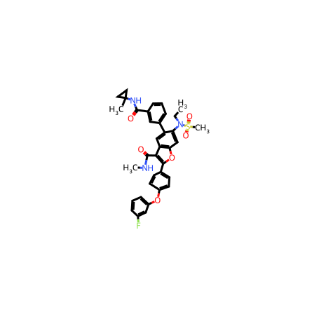 CCN(c1cc2oc(-c3ccc(Oc4cccc(F)c4)cc3)c(C(=O)NC)c2cc1-c1cccc(C(=O)NC2(C)CC2)c1)S(C)(=O)=O